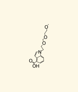 COCCOCOCCn1ccc2c(C(=O)O)cccc21